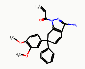 C=CC(=O)n1nc(N)c2c1CC(c1ccccc1)(c1ccc(OC)c(OC)c1)C=C2